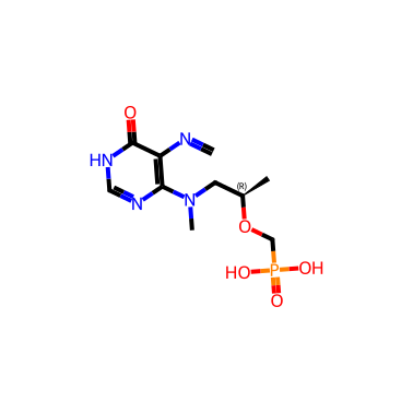 C=Nc1c(N(C)C[C@@H](C)OCP(=O)(O)O)nc[nH]c1=O